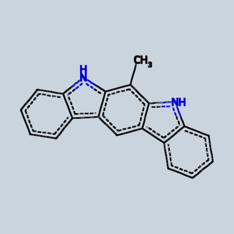 Cc1c2[nH]c3ccccc3c2cc2c1[nH]c1ccccc12